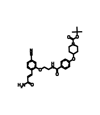 CC(C)(C)OC(=O)N1CCC(Oc2ccc(C(=O)NCCOc3cc(C#N)ccc3C=CC(N)=O)cc2)CC1